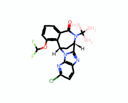 BC(B)(B)N1C(=O)c2cccc(OC(F)F)c2[C@@H]2C[C@H]1c1nc3ccc(Cl)nc3n12